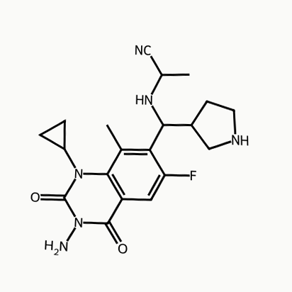 Cc1c(C(NC(C)C#N)C2CCNC2)c(F)cc2c(=O)n(N)c(=O)n(C3CC3)c12